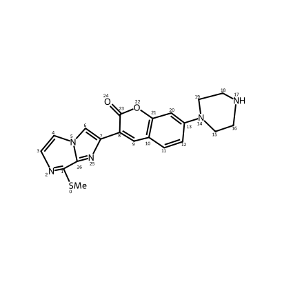 CSc1nccn2cc(-c3cc4ccc(N5CCNCC5)cc4oc3=O)nc12